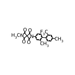 Cc1ccc(-c2ccc(N3C(=O)C4(C(=O)N(C)C4=O)C3=O)cc2C)c(C(F)(F)F)c1